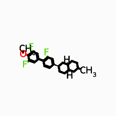 COc1c(F)cc(-c2ccc([C@@H]3CC[C@@H]4CC(C)CC[C@@H]4C3)cc2F)cc1F